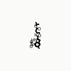 Cc1cc([N+](=O)[O-])c2[nH]c(C3=NC(CC(=O)OC(C)C)CO3)cc2c1